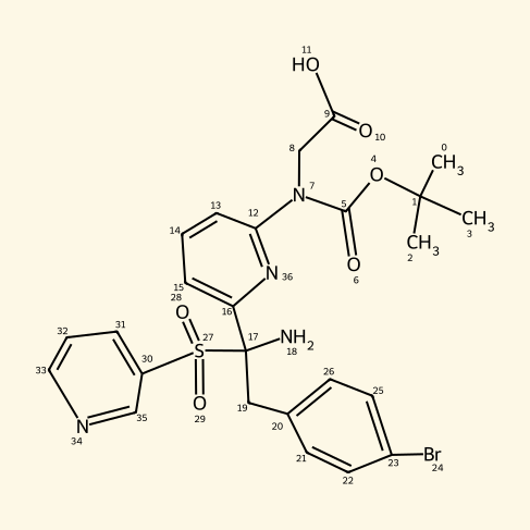 CC(C)(C)OC(=O)N(CC(=O)O)c1cccc(C(N)(Cc2ccc(Br)cc2)S(=O)(=O)c2cccnc2)n1